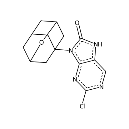 O=c1[nH]c2cnc(Cl)nc2n1C12CC3CC(C1)OC(C3)C2